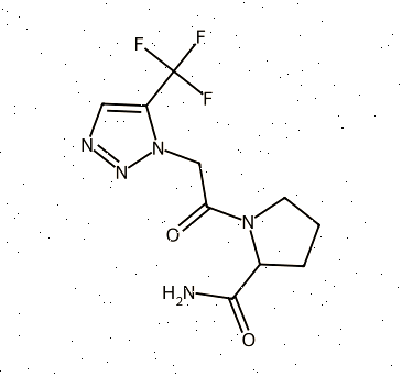 NC(=O)C1CCCN1C(=O)Cn1nncc1C(F)(F)F